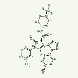 Cc1c(-c2ccnn2-c2ccc(C#N)cc2)n(C(=O)N[C@H]2CC[C@H]([N+](C)(C)C)CC2)c(=O)n1-c1cccc(C(F)(F)F)c1